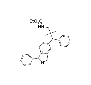 CCOC(=O)NCC(C)(C)C(C1=CCN2C(=C1)CN=C2c1ccccc1)c1ccccc1